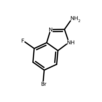 Nc1nc2c(F)cc(Br)cc2[nH]1